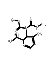 C=C(NC)N(C(=O)NC)C1C(C)=CC=NC1C(C)C